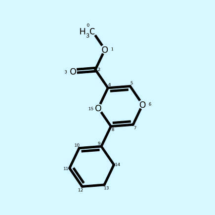 COC(=O)C1=COC=C(C2=CC=CCC2)O1